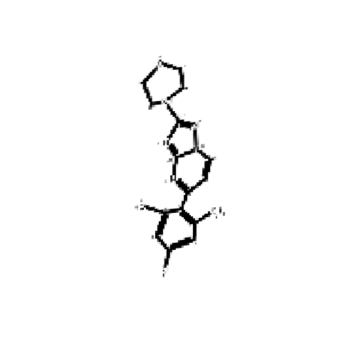 Cc1cc(Cl)cc(O)c1-c1ccn2nc(N3CCOCC3)nc2n1